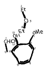 CC=O.CCOCC.COc1ccccc1O